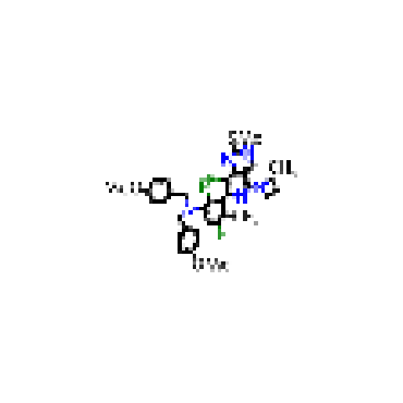 COc1ccc(CN(Cc2ccc(OC)cc2)c2cc(F)c(C(F)(F)F)c(-c3nc(N4CC[C@@H]4C)c4cnc(SC)nc4c3F)c2F)cc1